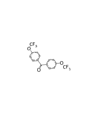 O=C(c1ccc(OC(F)(F)F)cc1)c1ccc(OC(F)(F)F)cc1